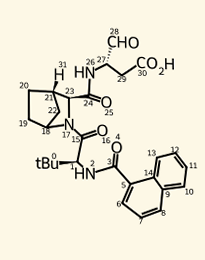 CC(C)(C)[C@H](NC(=O)c1cccc2ccccc12)C(=O)N1C2CC[C@@H](C2)[C@H]1C(=O)N[C@H](C=O)CC(=O)O